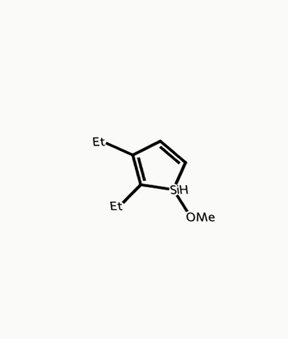 CCC1=C(CC)[SiH](OC)C=C1